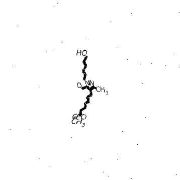 COC(=O)CCCC=CCc1c(C)nn(CCCCCCO)c1C=O